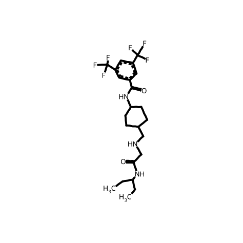 CCC(CC)NC(=O)CNCC1CCC(NC(=O)c2cc(C(F)(F)F)cc(C(F)(F)F)c2)CC1